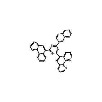 c1ccc2cc(-c3nc(-c4cc5ccccc5c5ccccc45)nc(-c4cc5cccnc5c5ncccc45)n3)ccc2c1